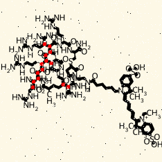 CC[N+]1=C(/C=C/C=C/C=C2/N(CCCCCC(=O)NCCN3C(=O)CC(SC[C@@H](NC(=O)[C@@H](CCCNC(=N)N)NC(=O)[C@@H](CCCNC(=N)N)NC(=O)[C@@H](CCCNC(=N)N)NC(=O)[C@@H](CCCNC(=N)N)NC(=O)[C@@H](CCCNC(=N)N)NC(=O)[C@@H](CCCNC(=N)N)NC(=O)[C@@H](CCCNC(=N)N)NC(=O)[C@H](C)CCCNC(=N)N)C(N)=O)C3=O)c3ccc(S(=O)(=O)O)cc3C2(C)C)C(C)(C)c2cc(S(=O)(=O)O)ccc21